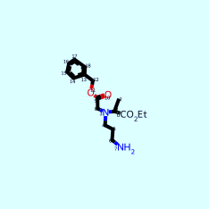 CCOC(=O)C(C)N(CCCN)CC(=O)OCc1ccccc1